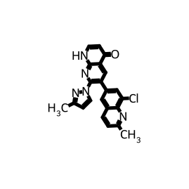 Cc1ccc2cc(-c3cc4c(=O)cc[nH]c4nc3-n3ccc(C)n3)cc(Cl)c2n1